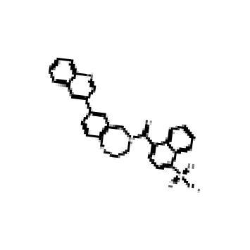 CS(=O)(=O)c1ccc(C(=O)N2CCOc3ccc(-c4cnc5ccccc5c4)cc3C2)c2ccccc12